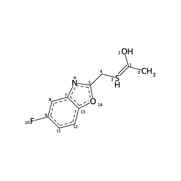 CC(O)=[SH]Cc1nc2cc(F)ccc2o1